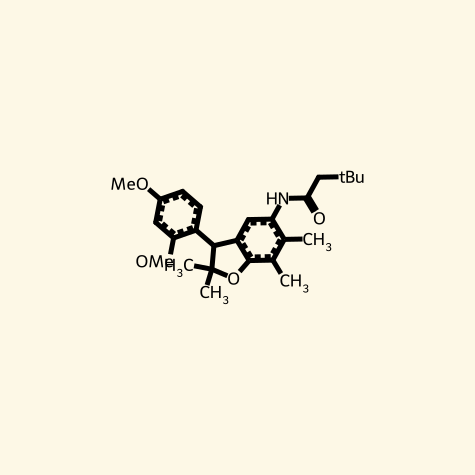 COc1ccc(C2c3cc(NC(=O)CC(C)(C)C)c(C)c(C)c3OC2(C)C)c(OC)c1